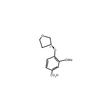 COc1cc(C(=O)O)ccc1O[C@H]1CCOC1